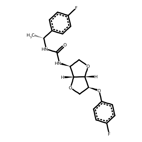 C[C@@H](NC(=O)N[C@H]1CO[C@H]2[C@@H]1OC[C@@H]2Oc1ccc(F)cc1)c1ccc(F)cc1